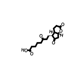 O=C(O)CCCCC(=O)CC[C@H]1C(=O)C[C@@H]2OC(=O)CC[C@@H]21